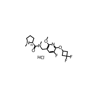 COc1nc(OC2CC(F)(F)C2)c(F)cc1CN(C)C(=O)[C@@H]1CCCN1C.Cl